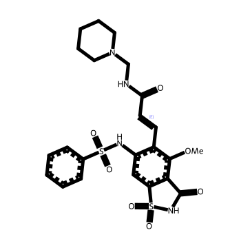 COc1c(/C=C/C(=O)NCN2CCCCC2)c(NS(=O)(=O)c2ccccc2)cc2c1C(=O)NS2(=O)=O